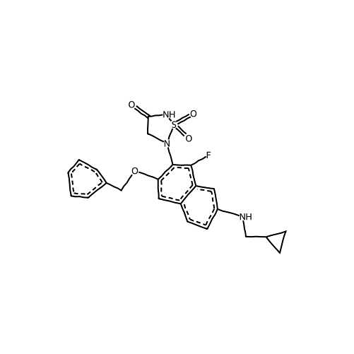 O=C1CN(c2c(OCc3ccccc3)cc3ccc(NCC4CC4)cc3c2F)S(=O)(=O)N1